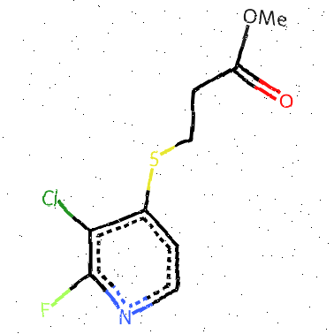 COC(=O)CCSc1ccnc(F)c1Cl